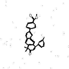 COC(=O)c1ccc(-c2ccc3cc4c(cc3c2)C(c2cccc(C)c2)=CC(=O)C4(C)C)cc1